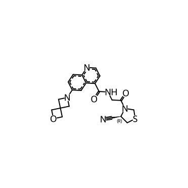 N#C[C@@H]1CSCN1C(=O)CNC(=O)c1ccnc2ccc(N3CC4(COC4)C3)cc12